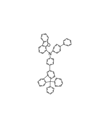 c1ccc(-c2ccc(N(c3ccc(-c4ccc5c(c4)-c4ccccc4C5(c4ccccc4)c4ccccc4)cc3)c3cccc4c3oc3ccccc34)cc2)cc1